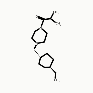 CC[C@H]1CC[C@H](CN2CCN(C(=O)C(C)C)CC2)CC1